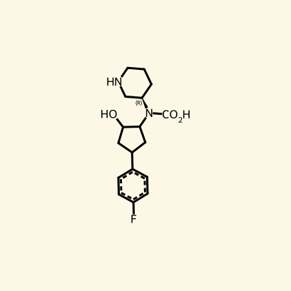 O=C(O)N(C1CC(c2ccc(F)cc2)CC1O)[C@@H]1CCCNC1